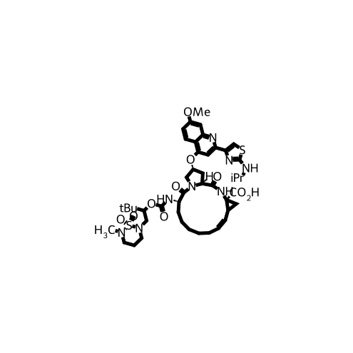 COc1ccc2c(O[C@@H]3C[C@H]4C(=O)N[C@]5(C(=O)O)CC5/C=C\CCCCC[C@H](NC(=O)OC(CN5CCCN(C)S5(=O)=O)C(C)(C)C)C(=O)N4C3)cc(-c3csc(NC(C)C)n3)nc2c1